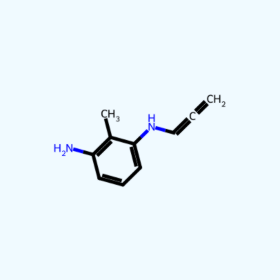 C=C=CNc1cccc(N)c1C